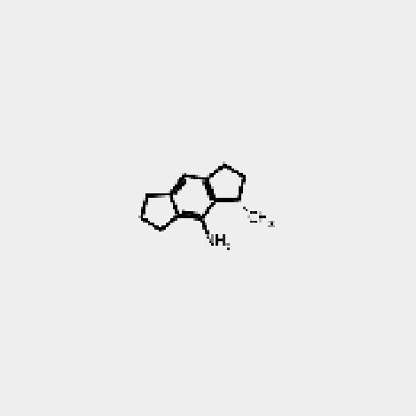 C[C@H]1CCc2cc3c(c(N)c21)CCC3